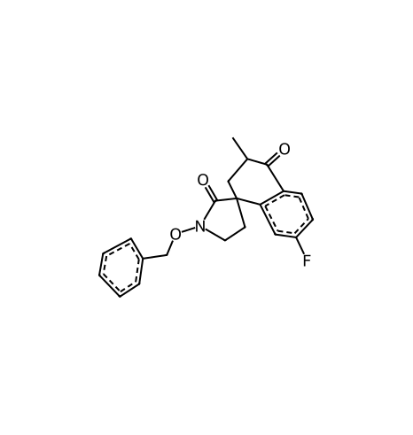 CC1CC2(CCN(OCc3ccccc3)C2=O)c2cc(F)ccc2C1=O